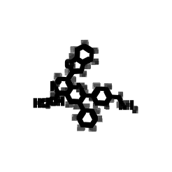 Cl.NCc1ccc(-c2nc3c(-c4cc5ccccc5o4)cnc(O)c3cc2-c2ccccc2)cc1